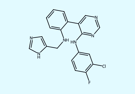 Fc1ccc(Nc2ncncc2-c2ccccc2NCc2cnc[nH]2)cc1Cl